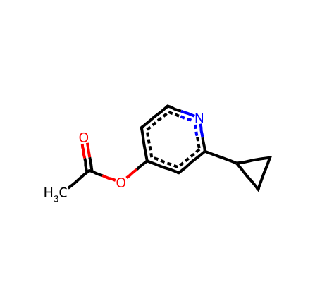 CC(=O)Oc1ccnc(C2CC2)c1